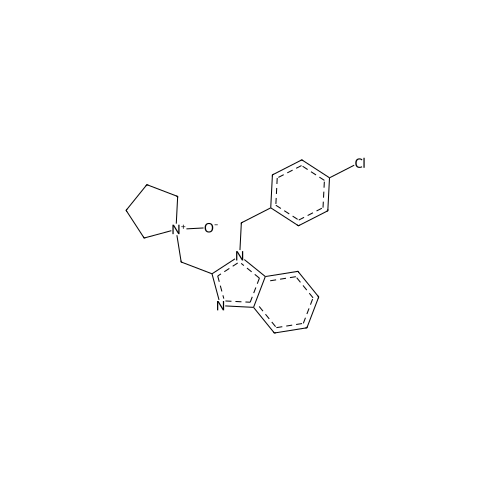 [O-][N+]1(Cc2nc3ccccc3n2Cc2ccc(Cl)cc2)CCCC1